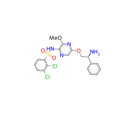 COc1nc(OC[C@@H](N)c2ccccc2)cnc1NS(=O)(=O)c1cccc(Cl)c1Cl